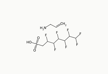 C=CCN.O=S(=O)(O)CC(F)C(F)C(F)C(F)C(F)C(F)F